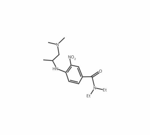 CCN(CC)C(=O)c1ccc(NC(C)CN(C)C)c([N+](=O)[O-])c1